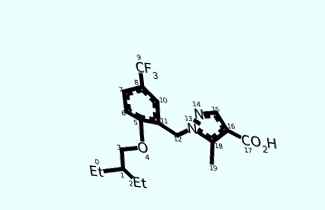 CCC(CC)COc1ccc(C(F)(F)F)cc1Cn1ncc(C(=O)O)c1C